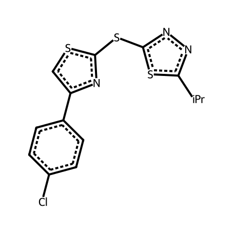 CC(C)c1nnc(Sc2nc(-c3ccc(Cl)cc3)cs2)s1